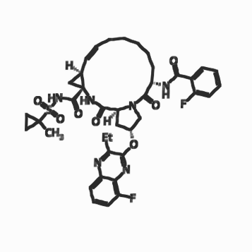 CCc1nc2cccc(F)c2nc1O[C@@H]1C[C@H]2C(=O)N[C@]3(C(=O)NS(=O)(=O)C4(C)CC4)C[C@H]3C=CCCCCC[C@H](NC(=O)c3ccccc3F)C(=O)N2C1